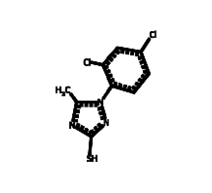 Cc1nc(S)nn1-c1ccc(Cl)cc1Cl